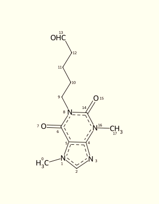 Cn1cnc2c1c(=O)n(CCCCC=O)c(=O)n2C